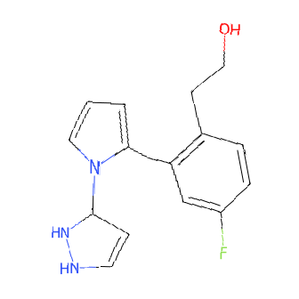 OCCc1ccc(F)cc1-c1cccn1C1C=CNN1